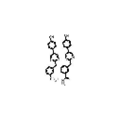 N#Cc1ccc(-c2cnc(Cc3cccc(C(=O)O)c3)nc2)cc1.N#Cc1ccc(-c2cnc(Cc3cccc(C(N)=O)c3)nc2)cc1